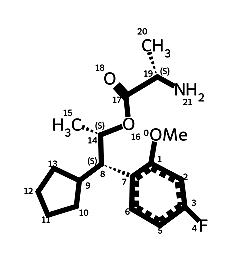 COc1cc(F)ccc1[C@H](C1CCCC1)[C@H](C)OC(=O)[C@H](C)N